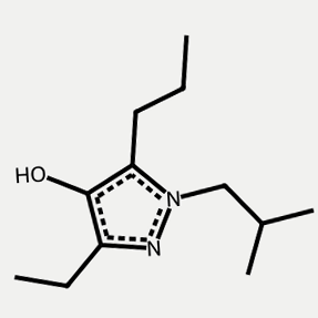 CCCc1c(O)c(CC)nn1CC(C)C